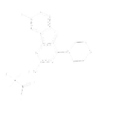 Nc1nc(N2CCNCC2)c2oc3ccc(Cl)cc3c2n1.O=C(O)C(F)(F)F